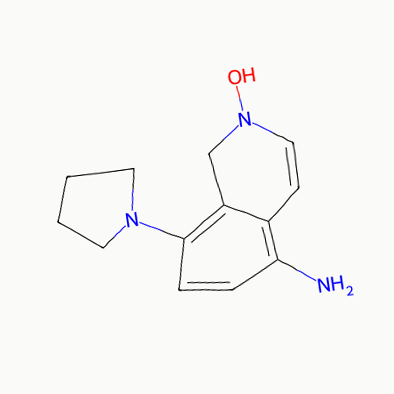 Nc1ccc(N2CCCC2)c2c1C=CN(O)C2